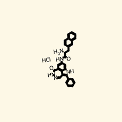 Cl.N[C@H](Cc1ccc2ccccc2c1)C(=O)Nc1cc2c3c(c(-c4ccccc4)[nH]c3c1)C=NNC2=O